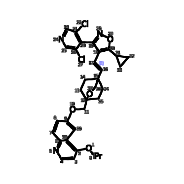 CC(C)Oc1ccnc2ccc(OCC34CCC(/C=C/c5c(-c6c(Cl)cncc6Cl)noc5C5CC5)(CC3)CO4)cc12